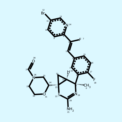 C[C@]1(c2cc(/C=C(\F)c3ccc(Br)cn3)ccc2F)N=C(N)S[C@@]2(C3CN(C=O)CCO3)C[C@@H]12